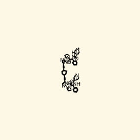 CN1CCN(C(=O)N[C@@H](C(=O)N2CCC[C@H]2c2ncc(C#Cc3ccc(C#Cc4cnc([C@@H]5CCCN5C(=O)[C@H](NC(=O)N5CCN(C)CC5)c5ccccc5)[nH]4)cc3)[nH]2)c2ccccc2)CC1